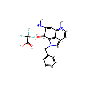 CNC1=Cc2c3c(n(Cc4ccccc4)cc3cc[n+]2C)C1=O.O=C([O-])C(F)(F)F